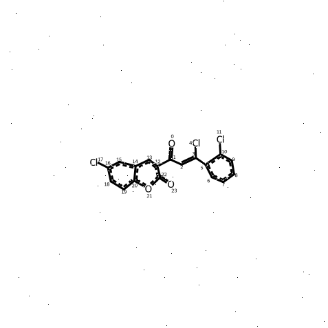 O=C(C=C(Cl)c1ccccc1Cl)c1cc2cc(Cl)ccc2oc1=O